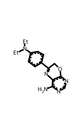 CCN(CC)c1ccc(C2=Nc3c(N)ncnc3OC2)cc1